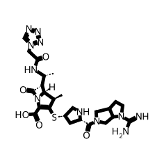 C[C@@H](NC(=O)Cn1cnnn1)[C@H]1C(=O)N2C(C(=O)O)=C(S[C@@H]3CN[C@H](C(=O)N4CC5CCN(C(=N)N)C5C4)C3)[C@H](C)[C@H]12